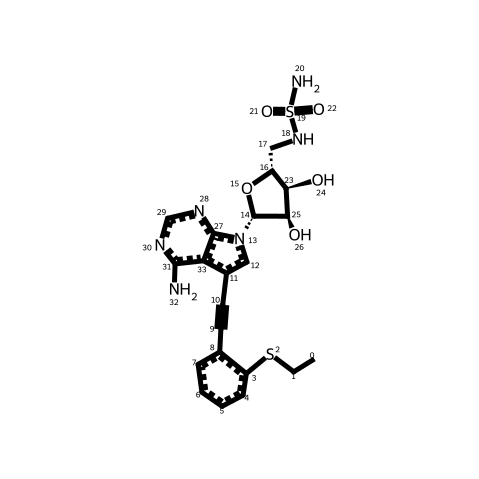 CCSc1ccccc1C#Cc1cn([C@@H]2O[C@H](CNS(N)(=O)=O)[C@@H](O)[C@H]2O)c2ncnc(N)c12